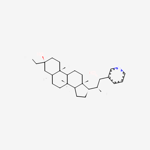 CC[C@]1(O)CC[C@]2(C)C3CC[C@]4(C)[C@@H]([C@H](C)[C@H](O)c5cccnc5)CC[C@H]4[C@@H]3CC[C@H]2C1